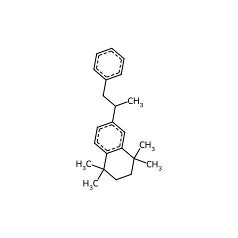 CC(Cc1ccccc1)c1ccc2c(c1)C(C)(C)CCC2(C)C